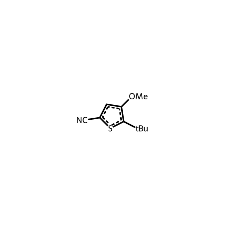 COc1cc(C#N)sc1C(C)(C)C